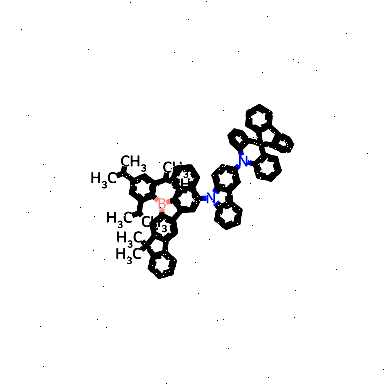 CC(C)c1cc(C(C)C)c(B2c3cc4c(cc3-c3cc(-n5c6ccccc6c6cc(N7c8ccccc8C8(c9ccccc9-c9ccccc98)c8ccccc87)ccc65)c5ccccc5c32)-c2ccccc2C4(C)C)c(C(C)C)c1